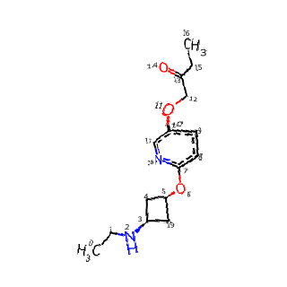 CCN[C@H]1C[C@@H](Oc2ccc(OCC(=O)CC)cn2)C1